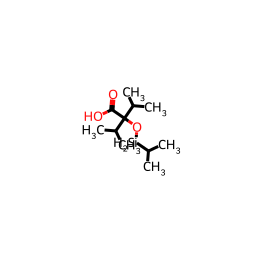 CC(C)[SiH2]OC(C(=O)O)(C(C)C)C(C)C